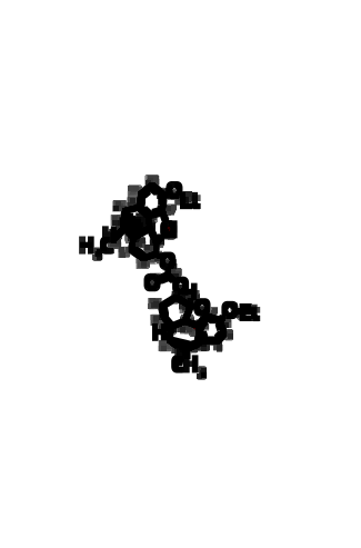 CCOc1ccc2c3c1O[C@H]1[C@@H](OC(=O)O[C@H]4C=C[C@H]5[C@H]6Cc7ccc(OCC)c8c7[C@@]5(CCN6C)[C@H]4O8)C=C[C@H]4C(C2)N(C)CC[C@@]341